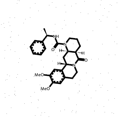 COc1cc2c(cc1OC)[C@@H]1C[C@@H]3[C@@H](CCCN3C(=O)N[C@H](C)c3ccccc3)C(=O)N1CC2